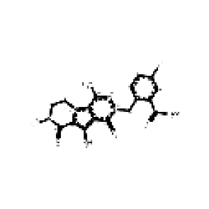 COC(=O)c1cc(F)ccc1Cn1nc(C)c2c(c(O)c3n2CCN(C)C3=O)c1=O